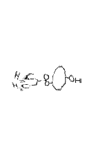 CC=C(C)C(=O)OC1CCCCC(O)CCCC1